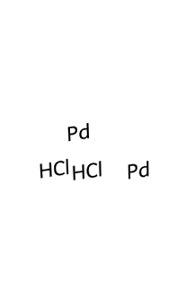 Cl.Cl.[Pd].[Pd]